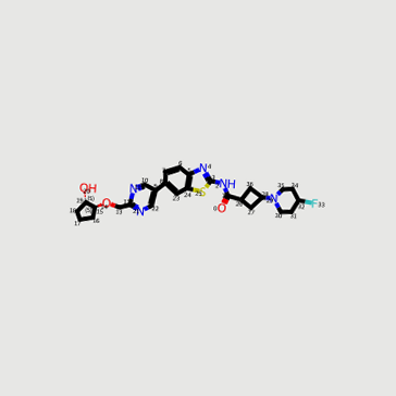 O=C(Nc1nc2ccc(-c3cnc(CO[C@H]4CCC[C@@H]4O)nc3)cc2s1)C1CC(N2CCC(F)CC2)C1